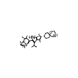 Cc1c(-c2[nH]c3sc([C@H]4CC[C@]5(CC4)CNCCO5)c(C)c3c2C(C)C)cn2ncnc2c1C